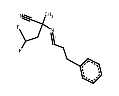 CC(C#N)(CC(F)F)/N=C/CCc1ccccc1